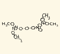 Cc1cccc(-c2cc(-c3ccc(-c4ccc(-c5ccc(-n6c7ccccc7c7cc(-n8c9ccc(C)cc9c9cc(C)ccc98)ccc76)cc5)cc4)cc3)nc(-c3cccc(C)c3)n2)c1